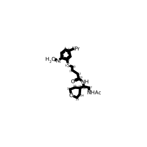 C=Nc1ccc(C(C)C)cc1SCCCC(=O)NC(CNC(C)=O)C1CCOCC1